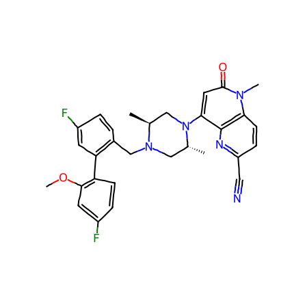 COc1cc(F)ccc1-c1cc(F)ccc1CN1C[C@@H](C)N(c2cc(=O)n(C)c3ccc(C#N)nc23)C[C@@H]1C